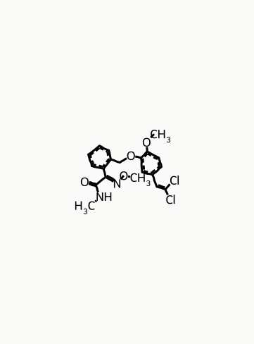 CNC(=O)/C(=N/OC)c1ccccc1COc1cc(C=C(Cl)Cl)ccc1OC